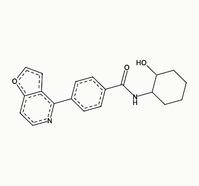 O=C(NC1CCCCC1O)c1ccc(-c2nccc3occc23)cc1